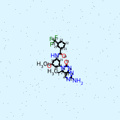 CCc1c2cnc(N)nc2nc(=O)n1-c1cc(NC(=O)c2cccc(C(F)(F)F)c2)cc(OC)c1